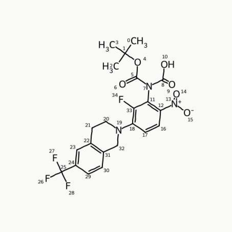 CC(C)(C)OC(=O)N(C(=O)O)c1c([N+](=O)[O-])ccc(N2CCc3cc(C(F)(F)F)ccc3C2)c1F